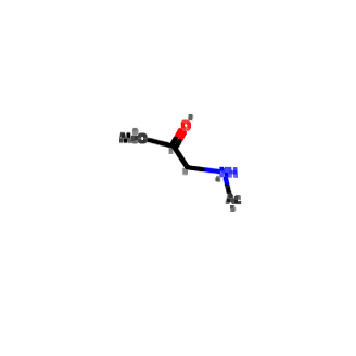 [CH2]OC(=O)CNC(C)=O